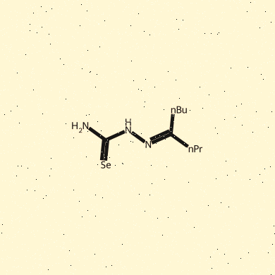 [CH2]CCC(CCCC)=NNC(N)=[Se]